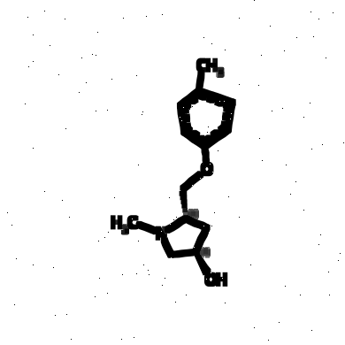 Cc1ccc(OC[C@@H]2C[C@@H](O)CN2C)cc1